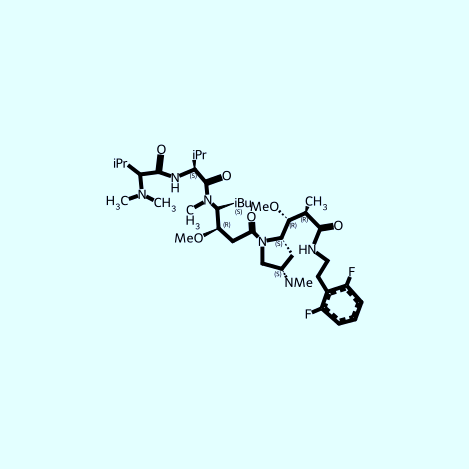 CC[C@H](C)C([C@@H](CC(=O)N1C[C@@H](NC)C[C@H]1[C@H](OC)[C@@H](C)C(=O)NCCc1c(F)cccc1F)OC)N(C)C(=O)[C@@H](NC(=O)C(C(C)C)N(C)C)C(C)C